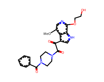 COc1cnc(OCCO)c2[nH]cc(C(=O)C(=O)N3CCN(C(=O)c4ccccc4)CC3)c12